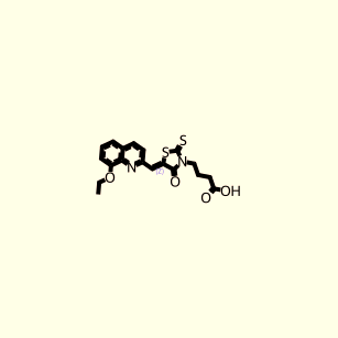 CCOc1cccc2ccc(/C=C3\SC(=S)N(CCCC(=O)O)C3=O)nc12